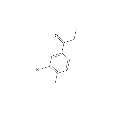 CCC(=O)c1ccc(C)c(Br)c1